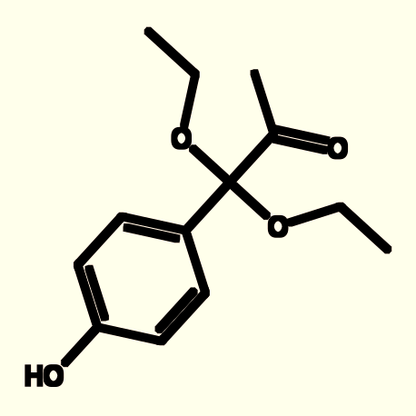 CCOC(OCC)(C(C)=O)c1ccc(O)cc1